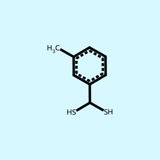 Cc1cccc(C(S)S)c1